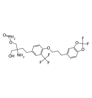 NC(CO)(CCc1ccc(OCCCc2ccc3c(c2)OC(F)(F)O3)c(C(F)(F)F)c1)CO[PH2]=O